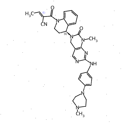 C/C=C(\C#N)C(=O)N1CC[C@H](N2Cc3cnc(Nc4ccc(N5CCN(C)CC5)cc4)nc3N(C)C2=O)c2ccccc21